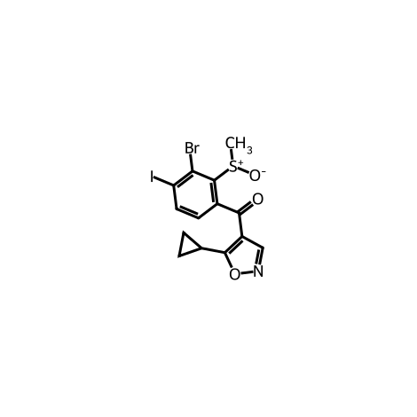 C[S+]([O-])c1c(C(=O)c2cnoc2C2CC2)ccc(I)c1Br